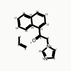 C=CC.O=C(Cn1ccnc1)c1cccc2ccccc12